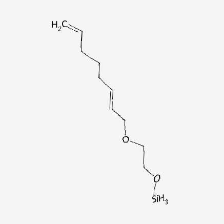 C=CCCCC=CCOCCO[SiH3]